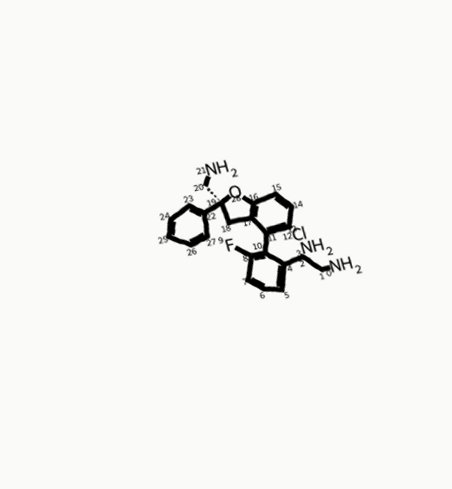 NCC(N)c1cccc(F)c1-c1c(Cl)ccc2c1C[C@@](CN)(c1ccccc1)O2